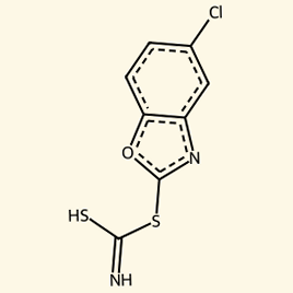 N=C(S)Sc1nc2cc(Cl)ccc2o1